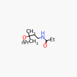 CCCOC(C)(C)CCNC(=O)CC